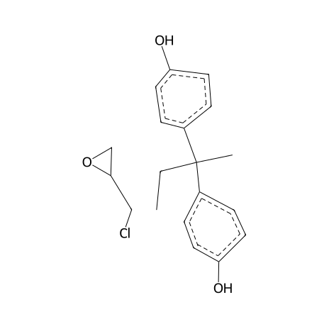 CCC(C)(c1ccc(O)cc1)c1ccc(O)cc1.ClCC1CO1